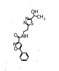 C[C@H](O)c1nnc(CCNC(=O)c2cc(-c3ccccc3)on2)s1